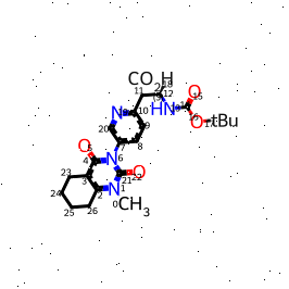 Cn1c2c(c(=O)n(-c3ccc(C[C@H](NC(=O)OC(C)(C)C)C(=O)O)nc3)c1=O)CCCC2